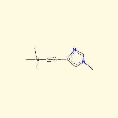 Cn1cnc(C#C[Si](C)(C)C)c1